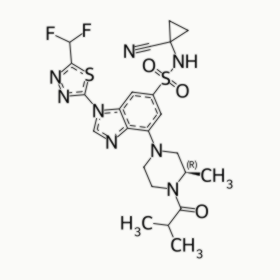 CC(C)C(=O)N1CCN(c2cc(S(=O)(=O)NC3(C#N)CC3)cc3c2ncn3-c2nnc(C(F)F)s2)C[C@H]1C